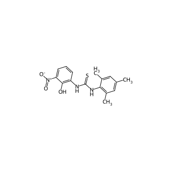 Cc1cc(C)c(NC(=S)Nc2cccc([N+](=O)[O-])c2O)c(C)c1